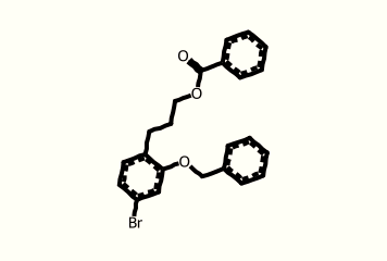 O=C(OCCCc1ccc(Br)cc1OCc1ccccc1)c1ccccc1